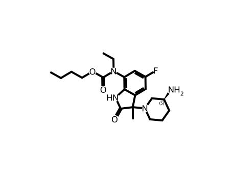 CCCCOC(=O)N(CC)c1cc(F)cc2c1NC(=O)C2(C)N1CCC[C@H](N)C1